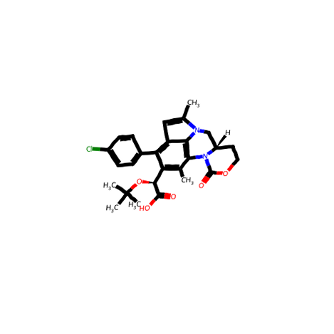 Cc1c([C@H](OC(C)(C)C)C(=O)O)c(-c2ccc(Cl)cc2)c2cc(C)n3c2c1N1C(=O)OCC[C@H]1C3